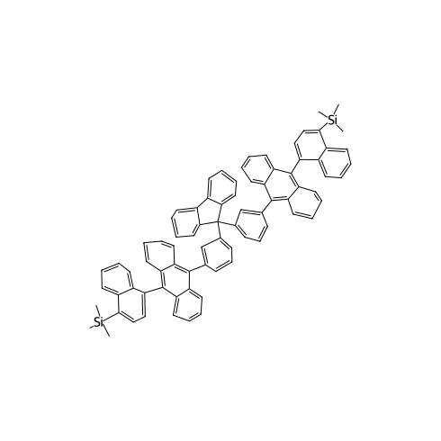 C[Si](C)(C)c1ccc(-c2c3ccccc3c(-c3cccc(C4(c5cccc(-c6c7ccccc7c(-c7ccc([Si](C)(C)C)c8ccccc78)c7ccccc67)c5)c5ccccc5-c5ccccc54)c3)c3ccccc23)c2ccccc12